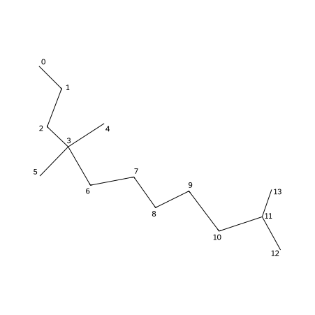 CCCC(C)(C)CCCCCC(C)C